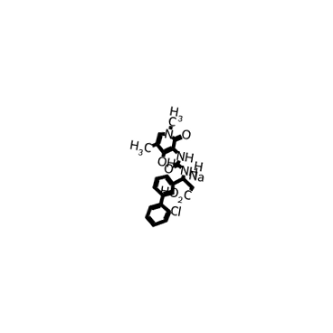 Cc1cn(C)c(=O)c(NC(=O)NC(CC(=O)O)c2cccc(-c3ccccc3Cl)c2)c1O.[NaH]